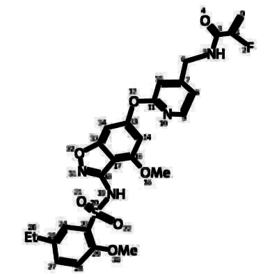 C=C(F)C(=O)NCc1ccnc(Oc2cc(OC)c3c(NS(=O)(=O)c4cc(CC)ccc4OC)noc3c2)c1